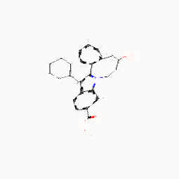 COC(=O)c1ccc2c(C3CCCCC3)c3n(c2c1)CCC(O)Cc1ccccc1-3